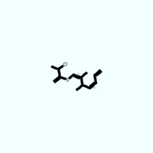 C=C/C=C\C(C)/C(C)=C\SC(=C)C(C)Cl